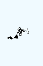 C/C=C/[C@H]1C[C@H]1CS(N)(=O)=O